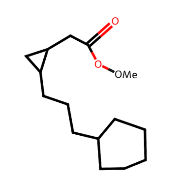 COOC(=O)CC1CC1CCCC1CCCCC1